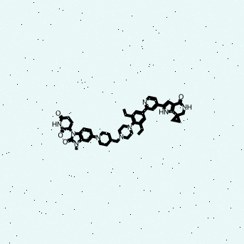 CCc1cc(-c2cc(-c3cc4c([nH]3)C3(CC3)CNC4=O)ccn2)cc(CC)c1N1CCN(CC2CCN(c3ccc4c(c3)n(C)c(=O)n4C3CCC(=O)NC3=O)CC2)CC1